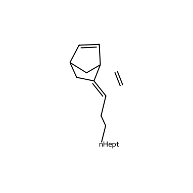 C=C.CCCCCCCCCC=C1CC2C=CC1C2